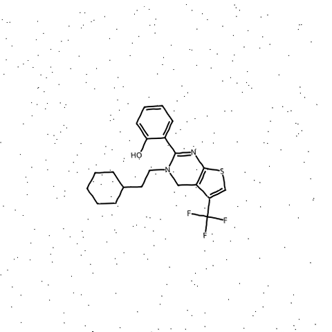 Oc1ccccc1C1=Nc2scc(C(F)(F)F)c2CN1CCC1CCCCC1